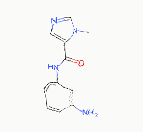 Cn1cncc1C(=O)Nc1cccc(N)c1